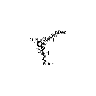 CCCCCCCCCCCCCCNC(=O)Oc1ccc([N+](=O)[O-])cc1OC(=O)NCCCCCCCCCCCCCC